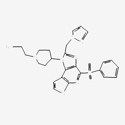 N#CCCN1CCC(n2c(Cn3cccn3)nc3c(S(=O)(=O)c4ccccc4)nc4[nH]ccc4c32)CC1